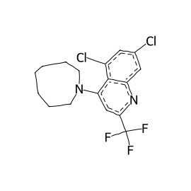 FC(F)(F)c1cc(N2CCCCCCC2)c2c(Cl)cc(Cl)cc2n1